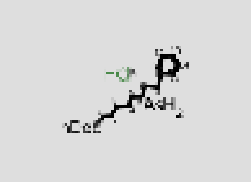 CCCCCCCCCCCCCCCC([AsH2])CCc1ccccc1.Cl